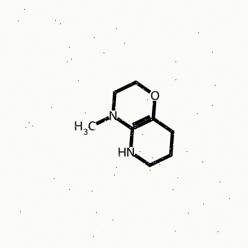 CN1CCOC2=C1NCCC2